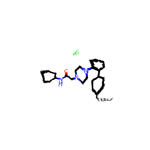 CC(C)(C)C1CCC(c2ccccc2N2CCN(CC(=O)NC3CCCCC3)CC2)CC1.Cl